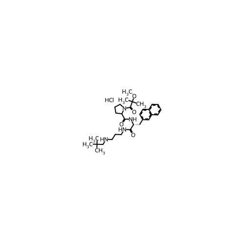 COC(C)(C)C(=O)N1CCCC1C(=O)N[C@H](Cc1ccc2ccccc2c1)C(=O)NCCCNCC(C)(C)C.Cl